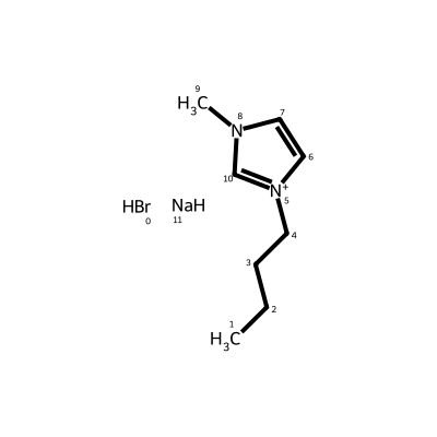 Br.CCCC[n+]1ccn(C)c1.[NaH]